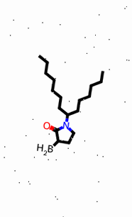 BC1CCN(C(CCCCCC)CCCCCCC)C1=O